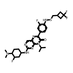 CC(C)n1c(=O)c(-c2ccc(NSCC3CC(F)(F)C3)c(F)c2)nc2cnc(NC3CCC(N(C)C)C(F)C3)nc21